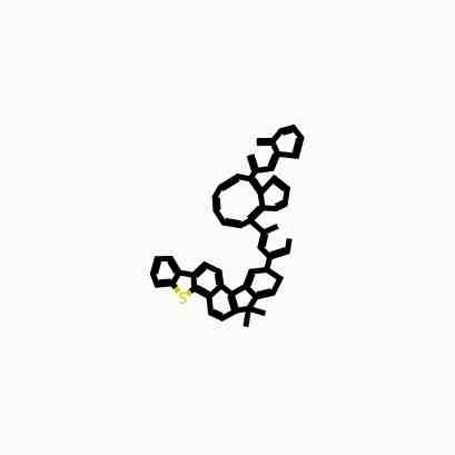 C=C(/C=c1/ccccc1=C)c1ccccccc(/C(C)=C/C(=C\C)C2C=C3C(=CC2)C(C)(C)c2ccc4c(ccc5c6ccccc6sc45)c23)c2ccccc12